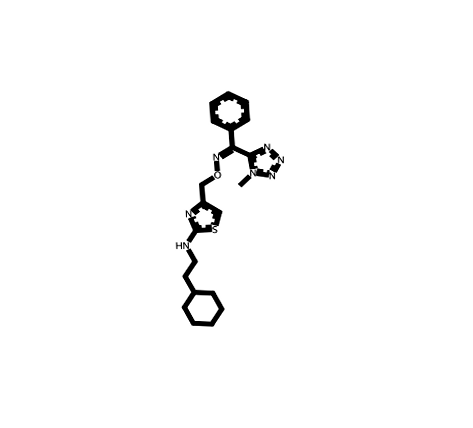 Cn1nnnc1/C(=N\OCc1csc(NCCC2CCCCC2)n1)c1ccccc1